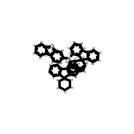 c1ccc2c(c1)-c1c(N(c3ccc4c(c3)oc3ccccc34)c3cccc4c3C3(c5ccccc5-4)C4CC5CC(C4)CC3C5)cccc1C21CCCCC1